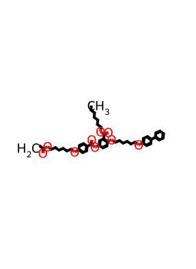 C=CC(=O)OCCCCCCOc1ccc(C(=O)Oc2ccc(OCCCCCCOc3ccc(-c4ccccc4)cc3)c(C(=O)OCCCCCCC)c2)cc1